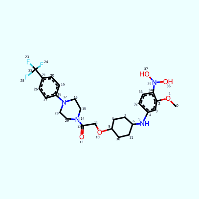 COc1cc(NC2CCC(OCC(=O)N3CCN(c4ccc(C(F)(F)F)cc4)CC3)CC2)ccc1N(O)O